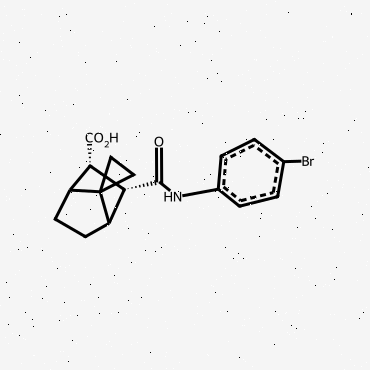 O=C(Nc1ccc(Br)cc1)[C@@H]1C2CCC([C@@H]1C(=O)O)C21CC1